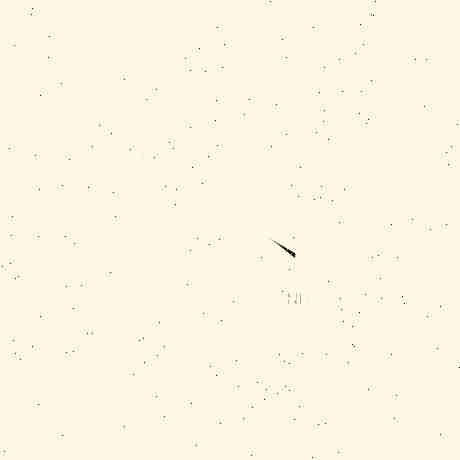 NC[C@H]1C=CC(Cl)=CC1